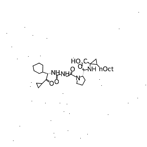 CCCCCCCCC1C[C@]1(NC(=O)[C@@H]1CCCN1C(=O)CNC(=O)N[C@H](C(=O)C1CC1)C1CCCCC1)C(=O)O